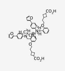 [2H]C(C)(C)N(Cc1ccccc1OCCC1CC(C(=O)O)C1)c1ccc(-c2ccco2)cc1.[2H]C([2H])(c1ccccc1OCCC1CC(C(=O)O)C1)N(c1ccc(-c2ccco2)cc1)C(C)C